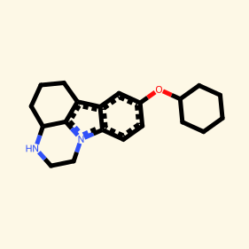 c1cc2c(cc1OC1CCCCC1)c1c3n2CCNC3CCC1